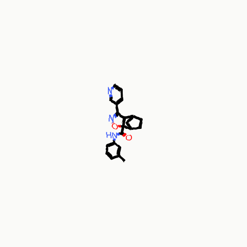 Cc1cccc(NC(=O)C23ON=C(c4cccnc4)C2C2CCC3C2)c1